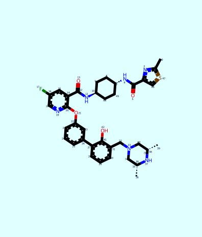 Cc1nc(C(=O)N[C@H]2CC[C@H](NC(=O)c3cc(F)cnc3Oc3cccc(-c4cccc(CN5C[C@@H](C)N[C@@H](C)C5)c4O)c3)CC2)cs1